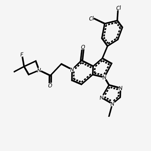 Cn1cnc(-n2cc(-c3ccc(Cl)c(Cl)c3)c3c(=O)n(CC(=O)N4CC(C)(F)C4)ccc32)n1